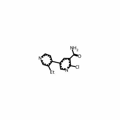 CCc1cnccc1-c1cnc(Cl)c(C(N)=O)c1